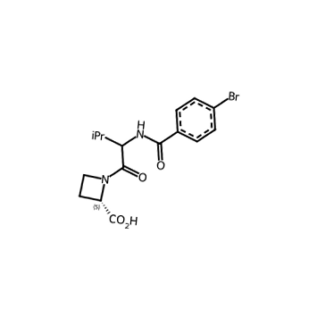 CC(C)C(NC(=O)c1ccc(Br)cc1)C(=O)N1CC[C@H]1C(=O)O